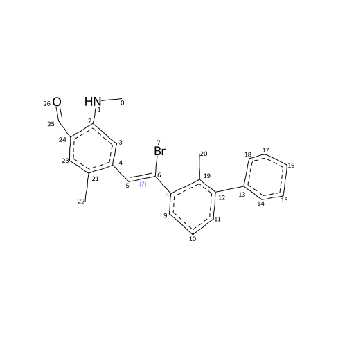 CNc1cc(/C=C(\Br)c2cccc(-c3ccccc3)c2C)c(C)cc1C=O